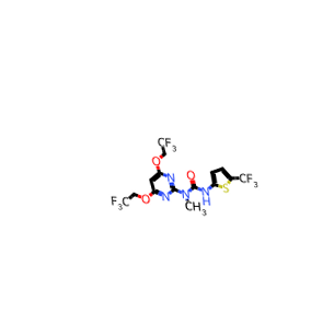 CN(C(=O)Nc1ccc(C(F)(F)F)s1)c1nc(OCC(F)(F)F)cc(OCC(F)(F)F)n1